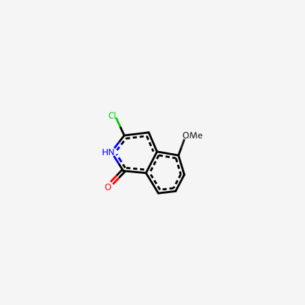 COc1cccc2c(=O)[nH]c(Cl)cc12